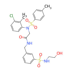 Cc1ccc(S(=O)(=O)N(CC(=O)NCc2cccc(S(=O)(=O)NCCO)c2)c2cccc(Cl)c2C)cc1